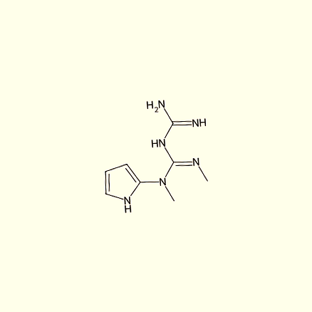 C/N=C(/NC(=N)N)N(C)c1ccc[nH]1